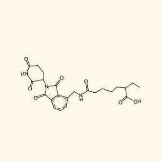 CCC(CCCCC(=O)NCc1cccc2c1C(=O)N(C1CCC(=O)NC1=O)C2=O)C(=O)O